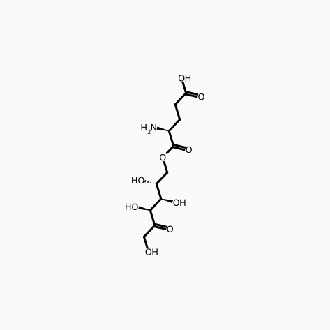 N[C@@H](CCC(=O)O)C(=O)OC[C@@H](O)[C@@H](O)[C@H](O)C(=O)CO